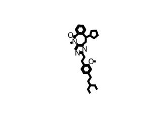 CCC(CC)CCc1ccc(CCc2ncc3c(n2)CC(C2CCCC2)c2ccccc2C(=O)N3C)c(OC)c1